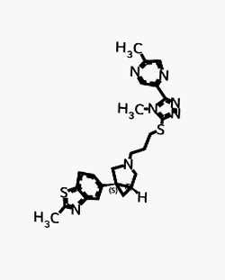 Cc1cnc(-c2nnc(SCCCN3C[C@@H]4C[C@]4(c4ccc5sc(C)nc5c4)C3)n2C)cn1